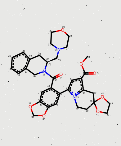 COC(=O)c1cc(-c2cc3c(cc2C(=O)N2Cc4ccccc4C[C@H]2CN2CCOCC2)OCO3)n2c1CC1(CC2)OCCO1